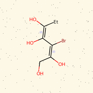 CC/C(O)=C(O)\C(Br)=C(\O)CO